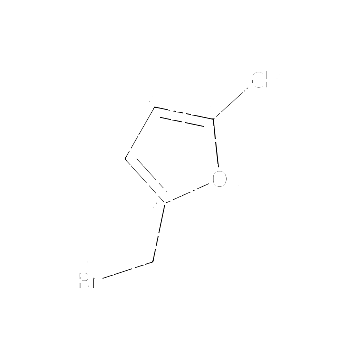 Clc1ccc(CBr)o1